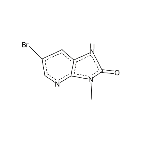 Cn1c(=O)[nH]c2cc(Br)cnc21